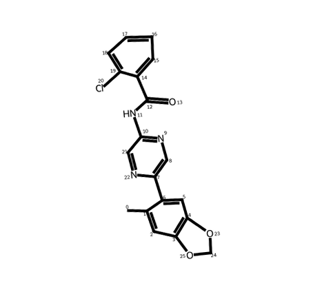 Cc1cc2c(cc1-c1cnc(NC(=O)c3ccccc3Cl)cn1)OCO2